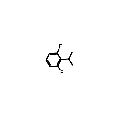 CC(C)c1c(F)cccc1F